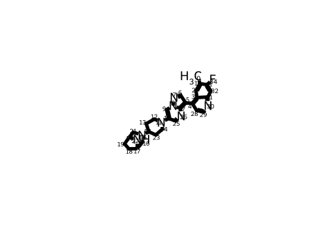 Cc1cc2c(-c3cnn4cc(N5CCC(N6CC7CCC(C6)N7)CC5)cnc34)ccnc2cc1F